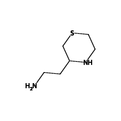 NCCC1CSCCN1